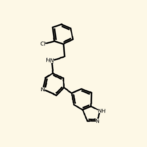 Clc1ccccc1CNc1cncc(-c2ccc3[nH]ncc3c2)c1